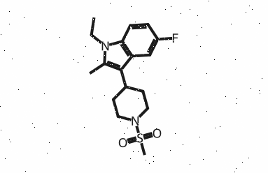 CCn1c(C)c(C2CCN(S(C)(=O)=O)CC2)c2cc(F)ccc21